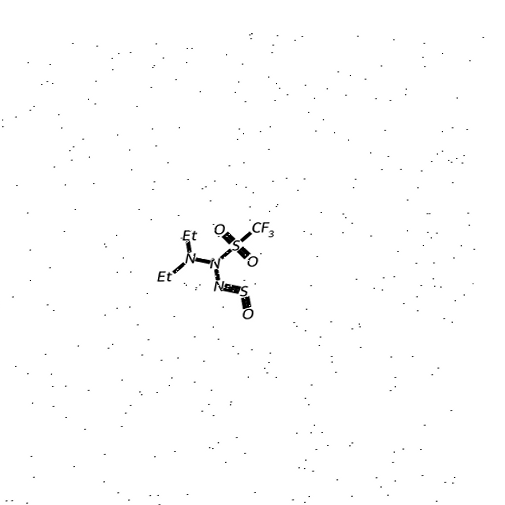 CCN(CC)N(N=S=O)S(=O)(=O)C(F)(F)F